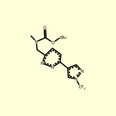 CN(Cc1ccc(-c2cnn(C(F)(F)F)c2)nn1)C(=O)OC(C)(C)C